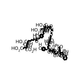 CCCC(=O)OCN(C(=O)[C@@H](NC(=O)[C@H]1CCCCN1C)C(C)CC)[C@H](C[C@@H](OC(C)=O)c1nc(C(=O)N[C@@H](Cc2ccc(O)cc2)C[C@H](C)C(=O)NNC(=O)OCCSSC[C@@H](C)NC(=O)[C@H](CC(=O)O)NC(=O)[C@H](CC(=O)O)NC(=O)Cc2ccc(CNC(=O)NCCCC[C@H](NC(=O)N[C@H](CCC(=O)O)C(=O)O)C(=O)O)cc2)cs1)C(C)C